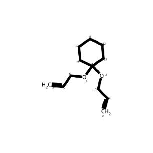 C=CCOC1(OCC=C)CCCCC1